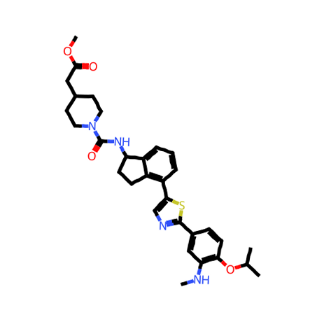 CNc1cc(-c2ncc(-c3cccc4c3CCC4NC(=O)N3CCC(CC(=O)OC)CC3)s2)ccc1OC(C)C